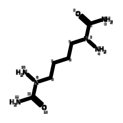 NC(=O)N(N)CCCCN(N)C(N)=O